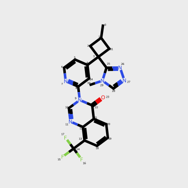 CC1CC(c2ccnc(-n3cnc4c(C(F)(F)F)cccc4c3=O)c2)(c2nncn2C)C1